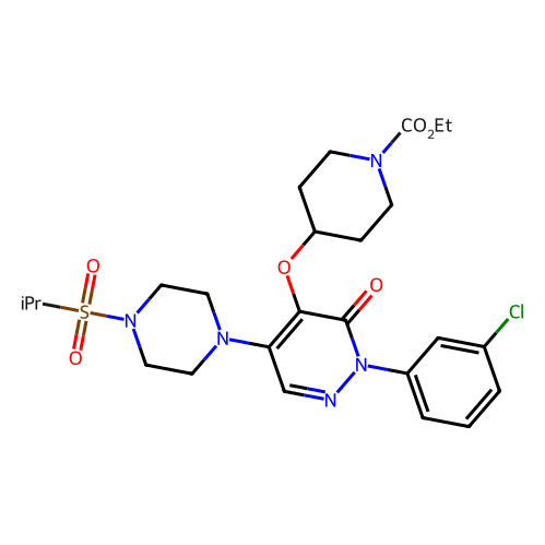 CCOC(=O)N1CCC(Oc2c(N3CCN(S(=O)(=O)C(C)C)CC3)cnn(-c3cccc(Cl)c3)c2=O)CC1